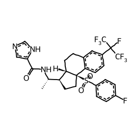 C[C@H](NC(=O)c1cnc[nH]1)[C@@H]1CC[C@@]2(S(=O)(=O)c3ccc(F)cc3)c3ccc(C(F)(C(F)(F)F)C(F)(F)F)cc3CC[C@@H]12